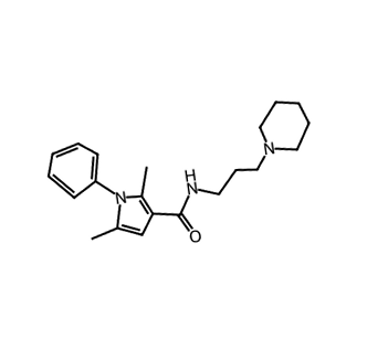 Cc1cc(C(=O)NCCCN2CCCCC2)c(C)n1-c1ccccc1